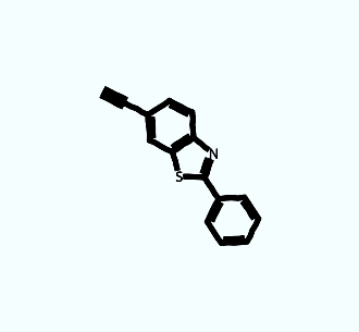 C#Cc1ccc2nc(-c3ccccc3)sc2c1